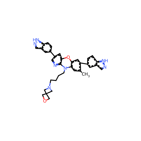 Cc1cc2c(cc1-c1ccc3[nH]ncc3c1)Oc1cc(-c3ccc4[nH]ncc4c3)cnc1N2CCCCN1CC2(COC2)C1